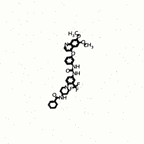 COc1cc2nccc(Oc3cccc(NC(=O)Nc4ccc(N5CCC(NC(=O)C6=CCCCC6)CC5)c(C(F)(F)F)c4)c3)c2cc1OC